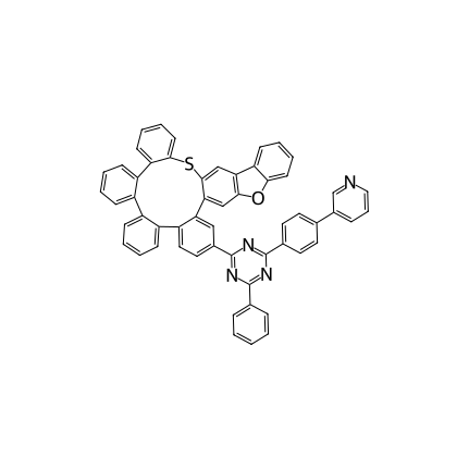 c1ccc(-c2nc(-c3ccc(-c4cccnc4)cc3)nc(-c3ccc4c(c3)-c3cc5oc6ccccc6c5cc3Sc3ccccc3-c3ccccc3-c3ccccc3-4)n2)cc1